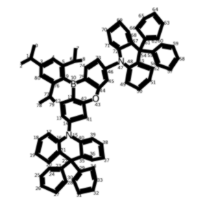 CC(C)c1cc(C(C)C)c(B2c3ccc(N4c5ccccc5C(c5ccccc5)(c5ccccc5)c5ccccc54)cc3Oc3cc(N4c5ccccc5C(c5ccccc5)(c5ccccc5)c5ccccc54)ccc32)c(C(C)C)c1